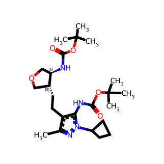 Cc1nn(C2CCC2)c(NC(=O)OC(C)(C)C)c1CC[C@@H]1COC[C@H]1NC(=O)OC(C)(C)C